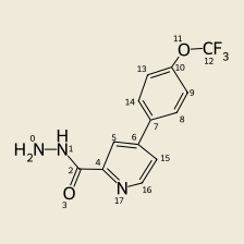 NNC(=O)c1cc(-c2ccc(OC(F)(F)F)cc2)ccn1